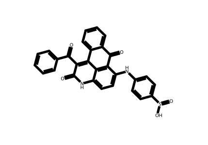 O=C(c1ccccc1)c1c2c3c(c(Nc4ccc(S(=O)O)cc4)ccc3[nH]c1=O)C(=O)c1ccccc1-2